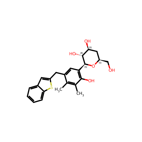 Cc1c(Cc2cc3ccccc3s2)cc([C@@H]2O[C@H](CO)C[C@H](O)[C@H]2O)c(O)c1C